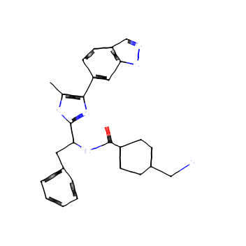 Cc1[nH]c(C(Cc2ccccc2)NC(=O)C2CCC(CN)CC2)nc1-c1ccc2cn[nH]c2c1